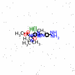 CCOC(=O)CNC(C)(C(=O)N(C)CC)c1ccc2c(c1)nc(CNc1ccc(C(=N)N)cc1)n2C.Cl.Cl